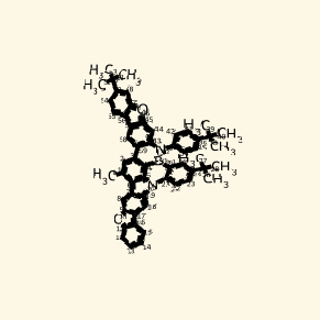 Cc1cc2c3c4c1c1cc5oc6ccccc6c5cc1n4-c1ccc(C(C)(C)C)cc1B3N(c1ccc(C(C)(C)C)cc1)c1cc3oc4cc(C(C)(C)C)ccc4c3cc1-2